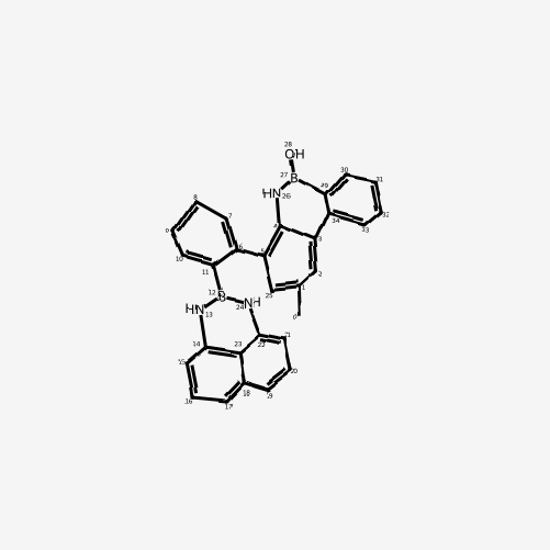 Cc1cc2c(c(-c3ccccc3B3Nc4cccc5cccc(c45)N3)c1)NB(O)c1ccccc1-2